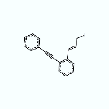 ICC=Cc1ccccc1C#Cc1ccccc1